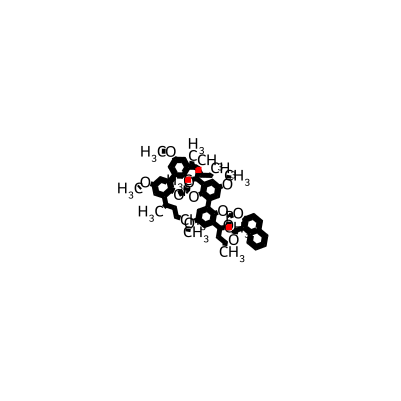 CCCC(C)c1cc(OC)cc(-c2cc(OC)cc(C(C)CCC)c2Op2oc3c(C(C)CCC)cc(OC)cc3c3cc(OC)cc(C(C)CCC)c3o2)c1OP1OC(=O)c2c(ccc3ccccc23)O1